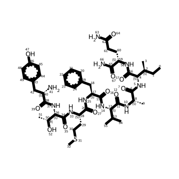 CC[C@H](C)[C@H](NC(=O)[C@H](C)NC(=O)[C@@H](NC(=O)[C@H](Cc1ccccc1)NC(=O)[C@H](CCSC)NC(=O)[C@@H](NC(=O)[C@@H](N)Cc1ccc(O)cc1)[C@@H](C)O)C(C)C)C(=O)N[C@@H](CCC(N)=O)C(N)=O